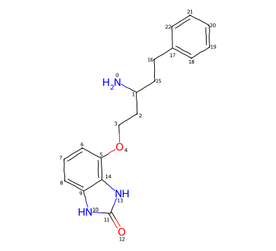 NC(CCOc1cccc2[nH]c(=O)[nH]c12)CCc1ccccc1